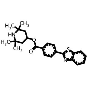 CC1(C)CC(OC(=O)c2ccc(-c3nc4ccccc4s3)cc2)CC(C)(C)N1